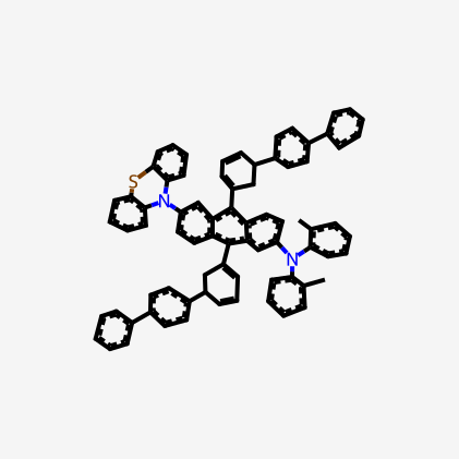 Cc1ccccc1N(c1ccc2c(C3=CC=CC(c4ccc(-c5ccccc5)cc4)C3)c3cc(N4c5ccccc5Sc5ccccc54)ccc3c(C3=CC=CC(c4ccc(-c5ccccc5)cc4)C3)c2c1)c1ccccc1C